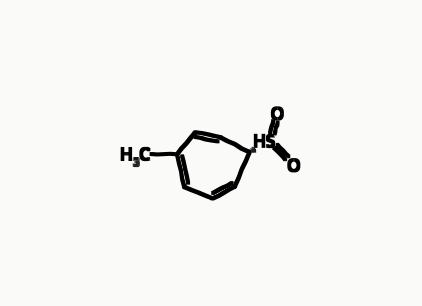 CC1=CC=C[C@@H]([SH](=O)=O)C=C1